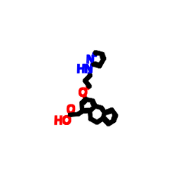 O=C(O)Cc1cc(OCCCNc2ccccn2)cc2c1CCc1ccccc1C2